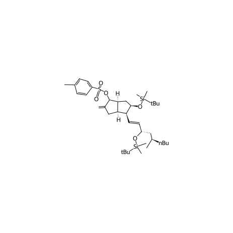 C=C1C[C@@H]2[C@H](/C=C/[C@H](C[C@H](C)CCCC)O[Si](C)(C)C(C)(C)C)[C@H](O[Si](C)(C)C(C)(C)C)C[C@@H]2C1OS(=O)(=O)c1ccc(C)cc1